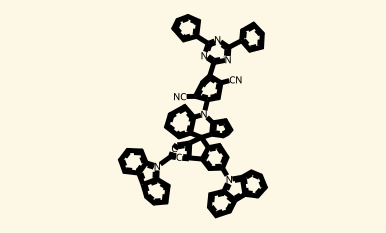 N#Cc1cc(N2c3ccccc3C3(c4ccc(-n5c6ccccc6c6ccccc65)cc4-c4cc(-n5c6ccccc6c6ccccc65)ccc43)c3ccccc32)c(C#N)cc1-c1nc(-c2ccccc2)nc(-c2ccccc2)n1